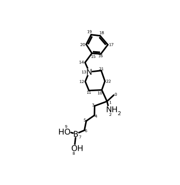 CC(N)(CCCCB(O)O)C1CCN(Cc2ccccc2)CC1